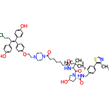 Cc1ncsc1-c1ccc(CNC(=O)[C@@H]2C[C@@H](O)CN2C(=O)C(NC(=O)CCCCCC(=O)N2CCN(CCOc3ccc(C(=C(CCCl)c4ccc(O)cc4)c4ccc(O)cc4)cc3)CC2)C(C)(C)C)cc1